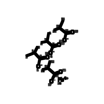 CC(C)C(=O)[O-].CC(C)C(=O)[O-].CC(C)C(=O)[O-].CC(C)C(=O)[O-].[Pb+4]